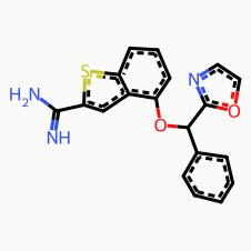 N=C(N)c1cc2c(OC(c3ccccc3)c3ncco3)cccc2s1